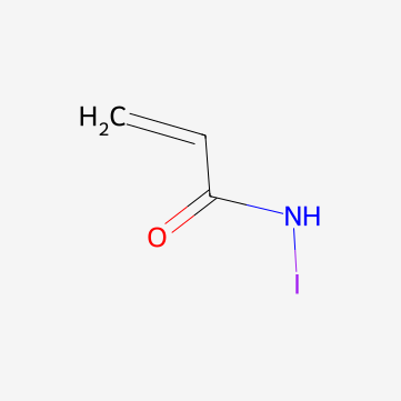 C=CC(=O)NI